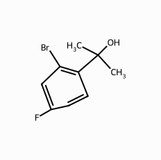 CC(C)(O)c1ccc(F)cc1Br